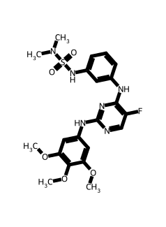 COc1cc(Nc2ncc(F)c(Nc3cccc(NS(=O)(=O)N(C)C)c3)n2)cc(OC)c1OC